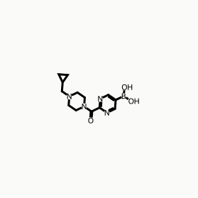 O=C(c1ncc(B(O)O)cn1)N1CCN(CC2CC2)CC1